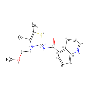 COCCn1c(C)c(C)s/c1=N\C(=O)c1cccc2ncccc12